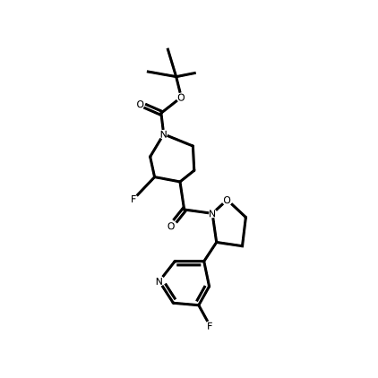 CC(C)(C)OC(=O)N1CCC(C(=O)N2OCCC2c2cncc(F)c2)C(F)C1